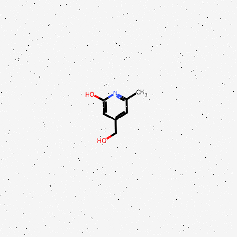 Cc1cc(CO)cc(O)n1